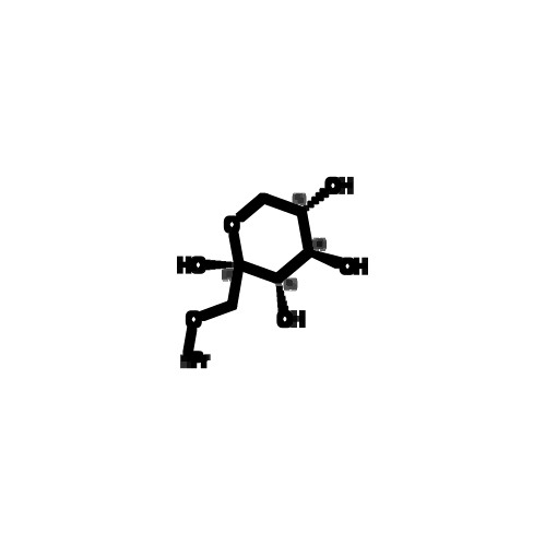 CCCOC[C@@]1(O)OC[C@H](O)[C@@H](O)[C@@H]1O